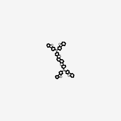 c1ccc2c(c1)oc1cc(N(c3ccc4c(c3)oc3ccccc34)c3ccc4c(c3)sc3c4ccc4c3ccc3c5ccc(N(c6ccc7c(c6)oc6ccccc67)c6ccc7c(c6)oc6ccccc67)cc5sc34)ccc12